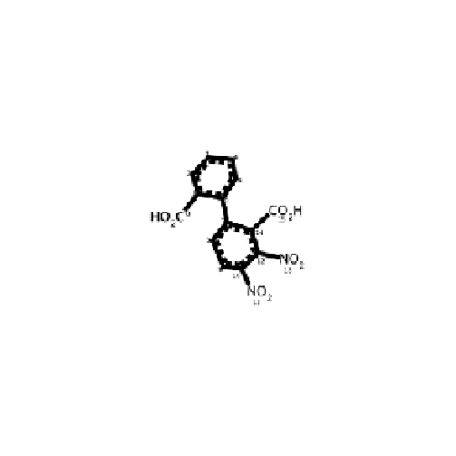 O=C(O)c1ccccc1-c1ccc([N+](=O)[O-])c([N+](=O)[O-])c1C(=O)O